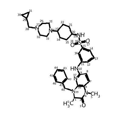 C[C@@H]1C(=O)N(C)c2ccc(Nc3cccc(S(=O)(=O)NC4CCC(N5CCN(CC6CC6)CC5)CC4)c3)nc2N1Cc1ccccc1